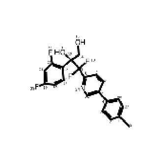 Cc1ccc(-c2ccc(C(F)(F)[C@@](O)(CO)c3ccc(F)cc3F)nc2)cc1